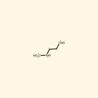 O=CCC[AsH]C(=O)O